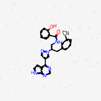 N#Cc1cccc(CC(CNC(=O)c2ccccc2O)n2cc(-c3ncnc4[nH]ccc34)cn2)c1